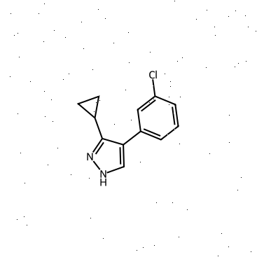 Clc1cccc(-c2c[nH]nc2C2CC2)c1